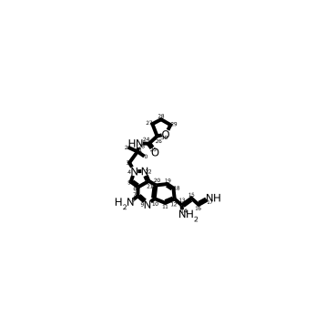 CC(C)(Cn1cc2c(N)nc3cc(/C(N)=C/C=N)ccc3c2n1)NC(=O)C1CCCO1